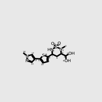 CN1C(C(O)O)CC(c2ccc(-c3cnn(C)c3)s2)NS1(=O)=O